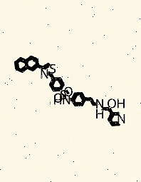 O=S(=O)(Nc1ccc(CCNCC(O)c2cccnc2)cc1)c1ccc(-c2nc(-c3ccc4ccccc4c3)cs2)cc1